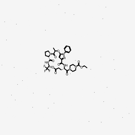 CCOC(=O)N1CCN(C(=O)[C@H](CCC(=O)O)NC(=O)c2cc(OC(C)C(=O)N3CCC[C@H]3C(=O)NCC(F)(F)F)n(-c3ccccc3)n2)CC1